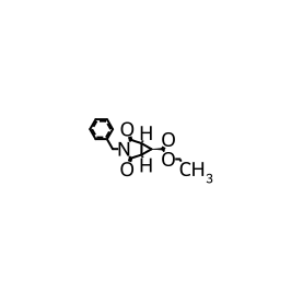 CCOC(=O)[C@@H]1[C@H]2C(=O)N(Cc3ccccc3)C(=O)[C@@H]12